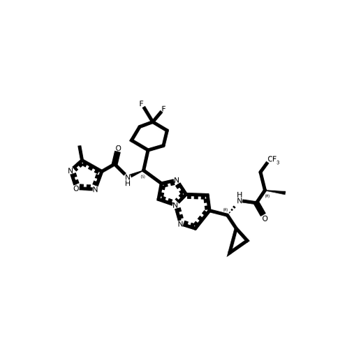 Cc1nonc1C(=O)N[C@H](c1cn2ncc([C@H](NC(=O)[C@H](C)CC(F)(F)F)C3CC3)cc2n1)C1CCC(F)(F)CC1